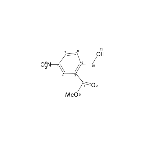 COC(=O)c1cc([N+](=O)[O-])ccc1CO